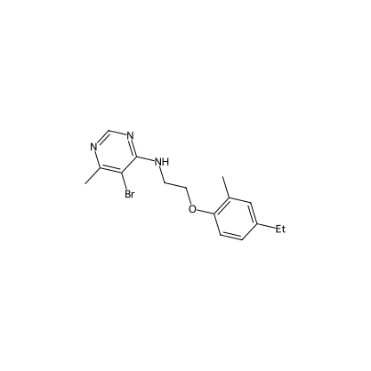 CCc1ccc(OCCNc2ncnc(C)c2Br)c(C)c1